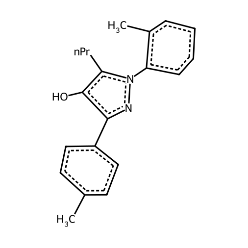 CCCc1c(O)c(-c2ccc(C)cc2)nn1-c1ccccc1C